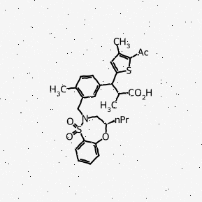 CCC[C@@H]1CN(Cc2cc(C(c3cc(C)c(C(C)=O)s3)C(C)C(=O)O)ccc2C)S(=O)(=O)c2ccccc2O1